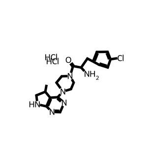 CC1CNc2ncnc(N3CCN(C(=O)C(N)Cc4ccc(Cl)cc4)CC3)c21.Cl.Cl